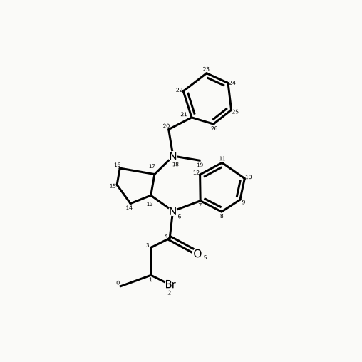 CC(Br)CC(=O)N(c1ccccc1)C1CCCC1N(C)Cc1ccccc1